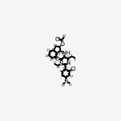 CCc1nc(-c2ccc(N(C)C)cc2Cl)n(CC)c(=O)c1N[C@H]1c2ccccc2C[C@@H]1OC(C)=O